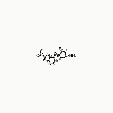 C[S+]([O-])c1cc2ncnc(Oc3ccc(N)cc3F)c2s1